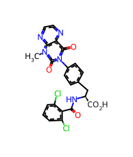 Cn1c(=O)n(-c2ccc(C[C@H](NC(=O)c3c(Cl)cccc3Cl)C(=O)O)cc2)c(=O)c2nccnc21